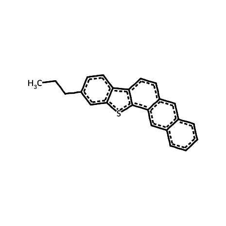 CCCc1ccc2c(c1)sc1c3cc4ccccc4cc3ccc21